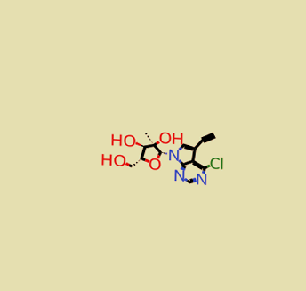 C#Cc1cn([C@@H]2O[C@H](CO)[C@@H](O)[C@@]2(C)O)c2ncnc(Cl)c12